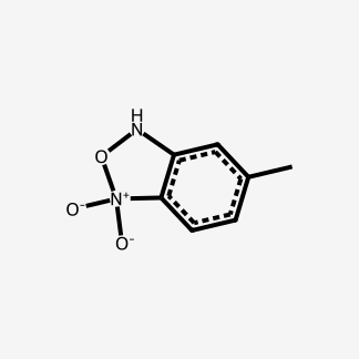 Cc1ccc2c(c1)NO[N+]2([O-])[O-]